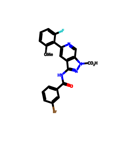 COc1cccc(F)c1-c1cc2c(NC(=O)c3cccc(Br)c3)nn(C(=O)O)c2cn1